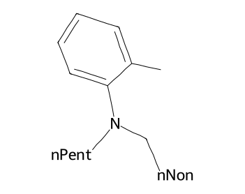 CCCCCCCCCCN(CCCCC)c1ccccc1C